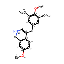 CCCOc1c(OC)cc(CC2=CNCc3[c]c(OCC)ccc32)cc1OC